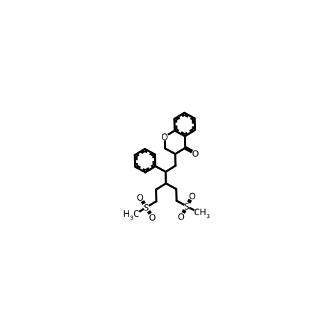 CS(=O)(=O)CCC(CCS(C)(=O)=O)C(CC1COc2ccccc2C1=O)c1ccccc1